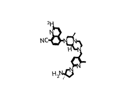 [2H]c1ccc2c(N3C[C@@H]4CN(Cc5ccc(N6CC[C@@](C)(N)C6)nc5C)CCN4[C@H](C)C3)ccc(C#N)c2n1